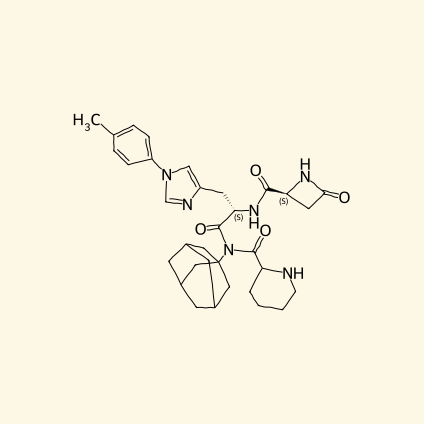 Cc1ccc(-n2cnc(C[C@H](NC(=O)[C@@H]3CC(=O)N3)C(=O)N(C(=O)C3CCCCN3)C34CC5CC(CC(C5)C3)C4)c2)cc1